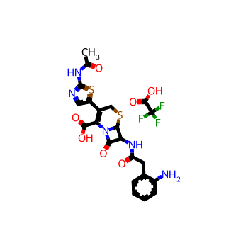 CC(=O)Nc1ncc(C2=C(C(=O)O)N3C(=O)C(NC(=O)Cc4ccccc4N)C3SC2)s1.O=C(O)C(F)(F)F